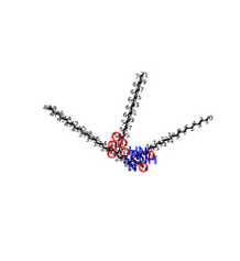 CCCCCCCCCCCCCCCCCC(=O)Nc1nc2c(ncn2[C@H]2C[C@H](OC(=O)CCCCCCCCCCCCCCCCC)[C@@H](COC(=O)CCCCCCCCCCCCCCCCC)O2)c(=O)[nH]1